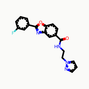 O=C(NCCn1cccn1)c1ccc2oc(-c3cccc(F)c3)nc2c1